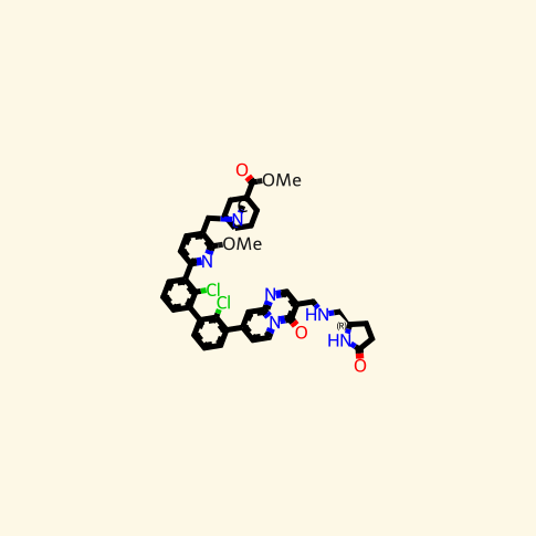 COC(=O)C12CCC(CC1)N(Cc1ccc(-c3cccc(-c4cccc(-c5ccn6c(=O)c(CNC[C@H]7CCC(=O)N7)cnc6c5)c4Cl)c3Cl)nc1OC)C2